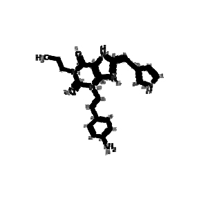 CCCn1c(=O)c2[nH]c(Cc3cc[nH]c3)nc2n(CCc2ccc(N)cc2)c1=O